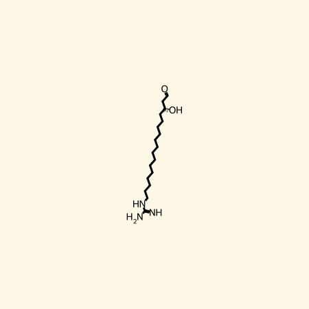 N=C(N)NCCCCCCCCCCCCCC[C@@H](O)CC=O